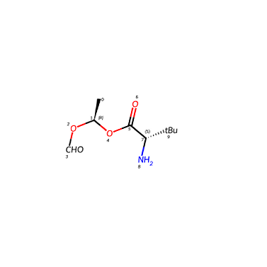 C[C@H](OC=O)OC(=O)[C@@H](N)C(C)(C)C